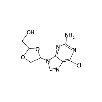 Nc1nc(Cl)c2ncn(C3COC(CO)O3)c2n1